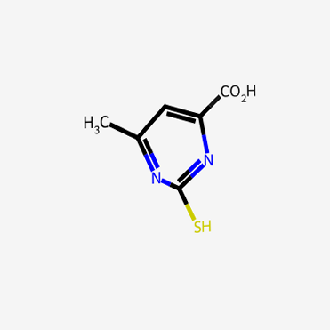 Cc1cc(C(=O)O)nc(S)n1